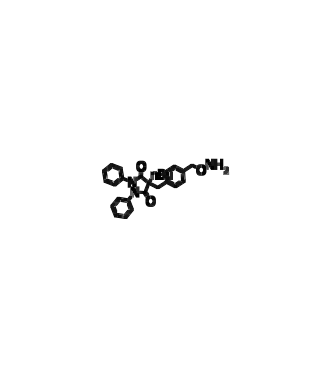 CCCCC1(Cc2ccc(CON)cc2)C(=O)N(c2ccccc2)N(c2ccccc2)C1=O